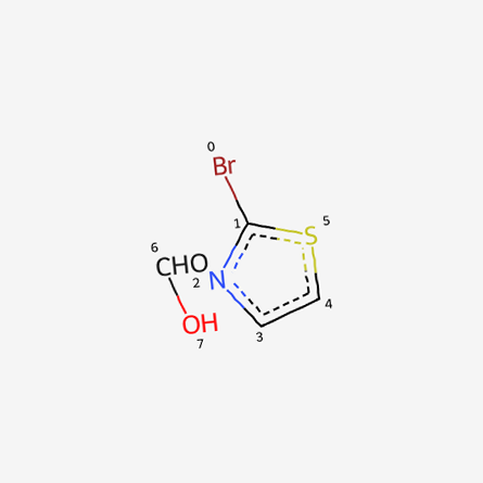 Brc1nccs1.O=CO